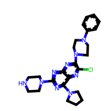 Clc1nc2c(N3CCCC3)nc(N3CCNCC3)nc2nc1N1CCN(c2ccccc2)CC1